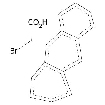 O=C(O)CBr.c1ccc2cc3ccccc3cc2c1